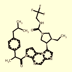 CC[C@@H]1CN(C(=O)NCC(F)(F)F)C[C@@H]1c1cnc2cnc3c(ccn3C(=O)C(C)c3ccc(CC(C)C)cc3)n12